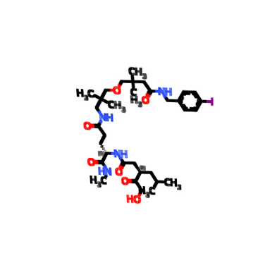 CNC(=O)[C@H](CCC(=O)NCC(C)(C)COCC(C)(C)CC(=O)NCc1ccc(I)cc1)NC(=O)C[C@@H](CC(C)C)C(=O)CO